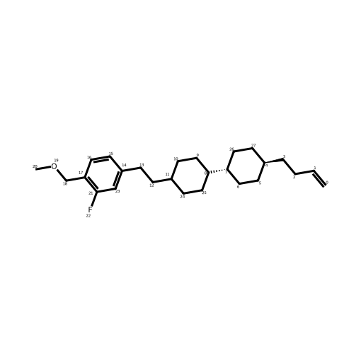 C=CCC[C@H]1CC[C@H](C2CCC(CCc3ccc(COC)c(F)c3)CC2)CC1